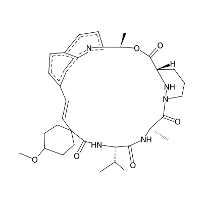 COC1CCC2(/C=C/c3ccc4ccc(nc4c3)[C@@H](C)OC(=O)[C@@H]3CCCN(N3)C(=O)[C@H](C)NC(=O)[C@H](C(C)C)NC2=O)CC1